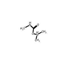 CNC(=O)O[SiH](C)C